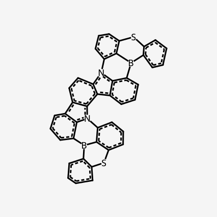 c1ccc2c(c1)Sc1cccc3c1B2c1cccc2c4c(ccc5c6cccc7c6n(c54)-c4cccc5c4B7c4ccccc4S5)n-3c12